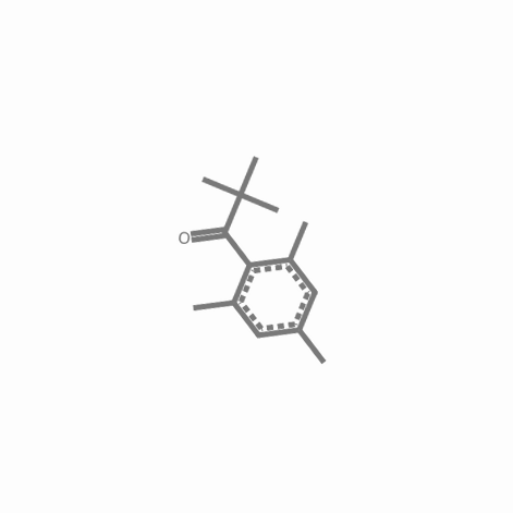 Cc1cc(C)c(C(=O)C(C)(C)C)c(C)c1